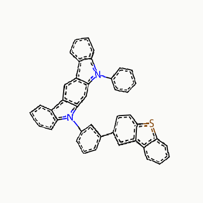 c1ccc(-n2c3ccccc3c3cc4c5ccccc5n(-c5cccc(-c6ccc7sc8ccccc8c7c6)c5)c4cc32)cc1